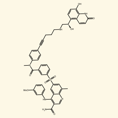 COc1cccc(Nc2c(C(N)=O)cnc3c(C)cc(S(=O)(=O)c4cccc(C(=O)N(C)c5ccc(C#CCCCNC[C@H](O)c6ccc(O)c7[nH]c(=O)ccc67)cc5)c4)cc23)c1